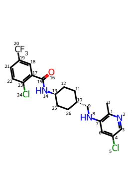 Cc1ncc(Cl)cc1NC[C@H]1CC[C@H](NC(=O)c2cc(C(F)(F)F)ccc2Cl)CC1